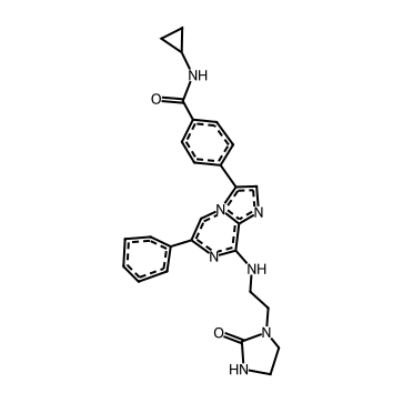 O=C(NC1CC1)c1ccc(-c2cnc3c(NCCN4CCNC4=O)nc(-c4ccccc4)cn23)cc1